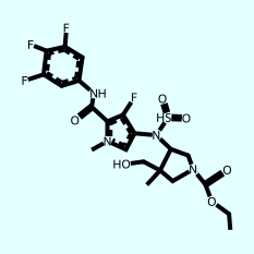 CCOC(=O)N1CC(N(c2cn(C)c(C(=O)Nc3cc(F)c(F)c(F)c3)c2F)[SH](=O)=O)C(C)(CO)C1